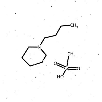 CCCCN1CCCCC1.CS(=O)(=O)O